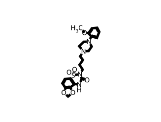 COc1ccccc1N1CCN(CCCCN2C(=O)Nc3c(ccc4c3OCO4)S2(=O)=O)CC1